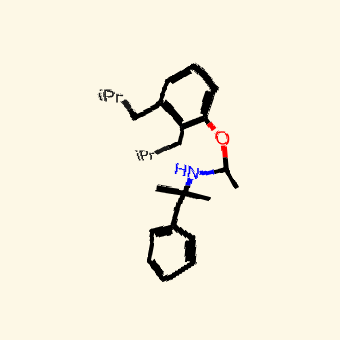 CC(C)Cc1cccc(OC(C)NC(C)(C)c2ccccc2)c1CC(C)C